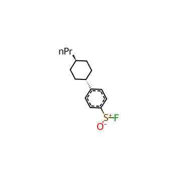 CCC[C@H]1CC[C@H](c2ccc([S+]([O-])F)cc2)CC1